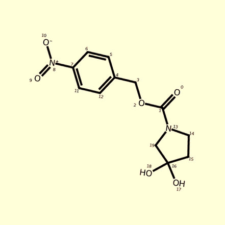 O=C(OCc1ccc([N+](=O)[O-])cc1)N1CCC(O)(O)C1